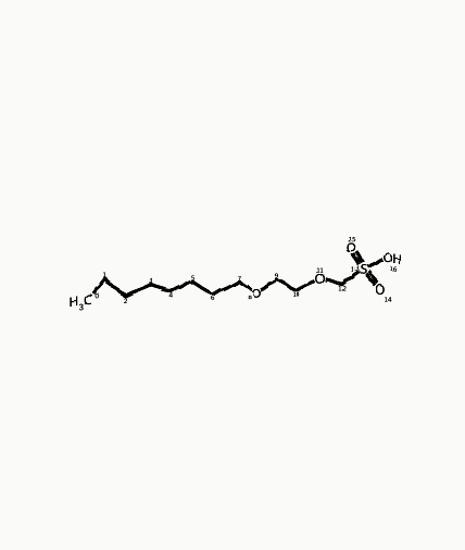 CCCCCCCCOCCOCS(=O)(=O)O